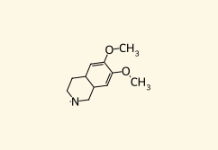 COC1=CC2CC[N]CC2C=C1OC